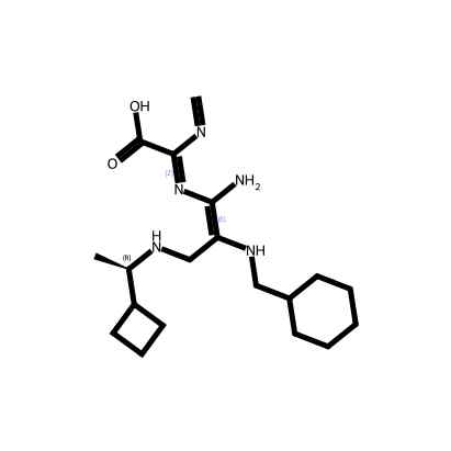 C=N/C(=N\C(N)=C(/CN[C@H](C)C1CCC1)NCC1CCCCC1)C(=O)O